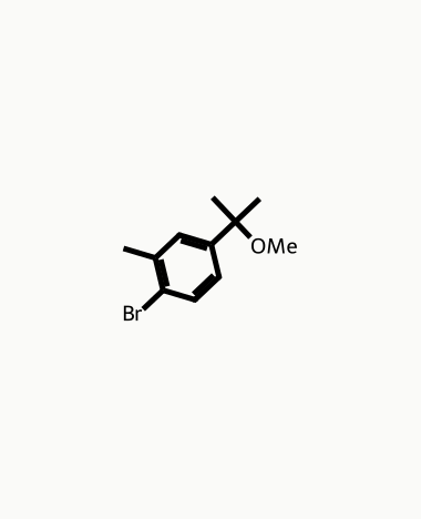 COC(C)(C)c1ccc(Br)c(C)c1